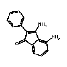 NC1=C(c2ccccc2)C(=O)c2cccc(N)c21